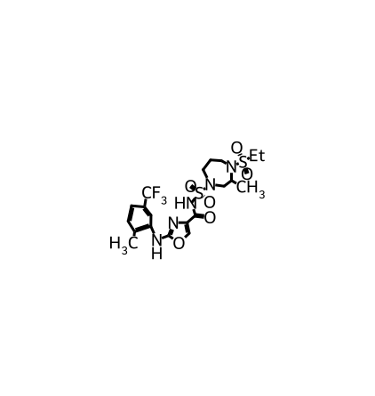 CCS(=O)(=O)N1CCCN(S(=O)(=O)NC(=O)c2coc(Nc3cc(C(F)(F)F)ccc3C)n2)CC1C